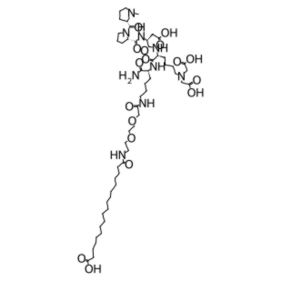 CN1CCC[C@H]1C(=O)N1CCC[C@H]1C(=O)N[C@@H](CC(=O)O)C(=O)N[C@@H](CCCCN(CC(=O)O)CC(=O)O)C(=O)N[C@@H](CCCCNC(=O)COCCOCCNC(=O)CCCCCCCCCCCCCCCCC(=O)O)C(N)=O